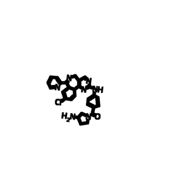 NC1CCN(C(=O)c2ccc(Nc3ncc4c(n3)C3C=CC(Cl)=CC3C(c3ccccn3)=NC4)cc2)C1